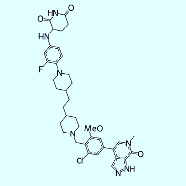 COc1cc(-c2cn(C)c(=O)c3[nH]ncc23)cc(Cl)c1CN1CCC(CCC2CCN(c3ccc(NC4CCC(=O)NC4=O)cc3F)CC2)CC1